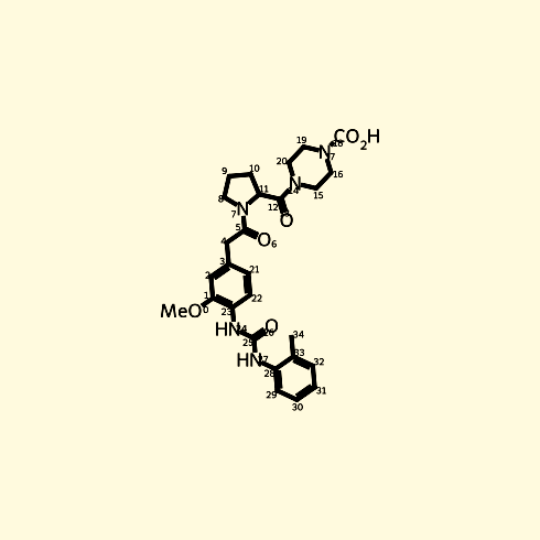 COc1cc(CC(=O)N2CCCC2C(=O)N2CCN(C(=O)O)CC2)ccc1NC(=O)Nc1ccccc1C